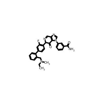 CCN(C)Cc1ccccc1-c1ccc(C2N=Cc3ncn(-c4cccc(C(N)=O)c4)c3C2=O)c(F)c1